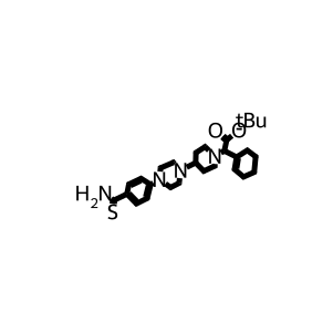 CC(C)(C)OC(=O)C(C1=CCCCC1)N1CCC(N2CCN(c3ccc(C(N)=S)cc3)CC2)CC1